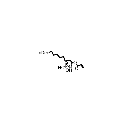 C=CC(=O)OC(CCCCCCCCCCCCCCCCC)OP(=O)(O)O